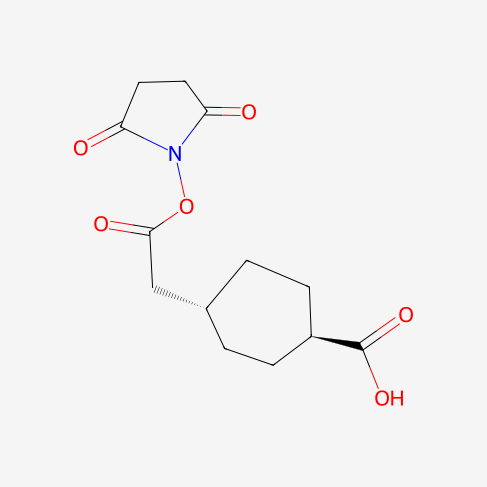 O=C(C[C@H]1CC[C@H](C(=O)O)CC1)ON1C(=O)CCC1=O